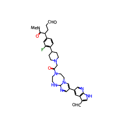 CNC(=O)C(CCC=O)c1ccc(C2CCN(CC(=O)N3CCNC4N=CC(c5cnc6[nH]cc(C=O)c6c5)=CN4CC3)CC2)c(F)c1